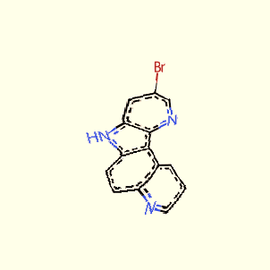 Brc1cnc2c(c1)[nH]c1ccc3ncccc3c12